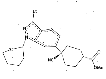 CCc1nn(C2CCCCC2)c2cc([C@]3(C#N)CC[C@H](C(=O)OC)CC3)ccc12